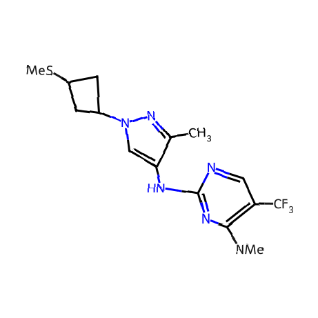 CNc1nc(Nc2cn(C3CC(SC)C3)nc2C)ncc1C(F)(F)F